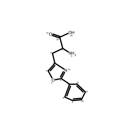 NC(Cc1coc(-c2ccccc2)n1)C(=O)O